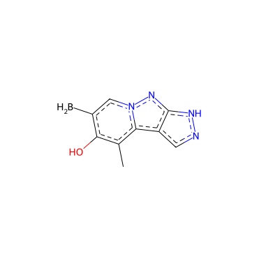 Bc1cn2nc3[nH]ncc3c2c(C)c1O